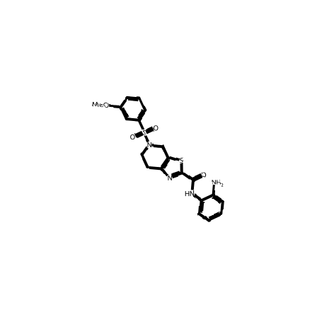 COc1cccc(S(=O)(=O)N2CCc3nc(C(=O)Nc4ccccc4N)sc3C2)c1